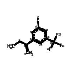 C=C(CC)c1cc(F)cc(C(F)(F)F)c1